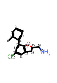 Cc1ccccc1-c1cc(Cl)cc2c1OC(CN)C2